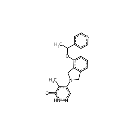 Cc1c(N2Cc3cccc(OC(C)c4ccncc4)c3C2)cn[nH]c1=O